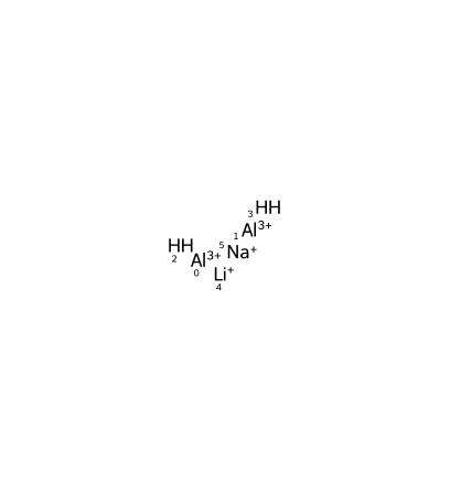 [Al+3].[Al+3].[HH].[HH].[Li+].[Na+]